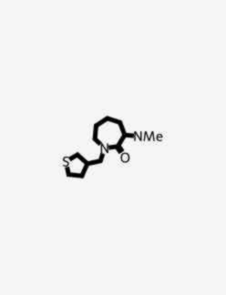 CNC1CCCCN(CC2CCSC2)C1=O